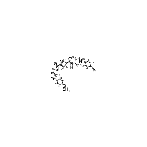 COc1ccc(C(=O)C2CCN(C(=O)c3ccc(C(=O)N[C@@H]4CCN(Cc5ccc(C#N)cc5)C[C@@H]4F)cn3)CC2)cc1